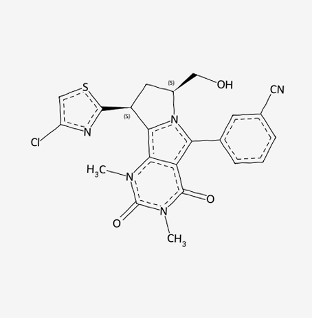 Cn1c(=O)c2c(-c3cccc(C#N)c3)n3c(c2n(C)c1=O)[C@@H](c1nc(Cl)cs1)C[C@H]3CO